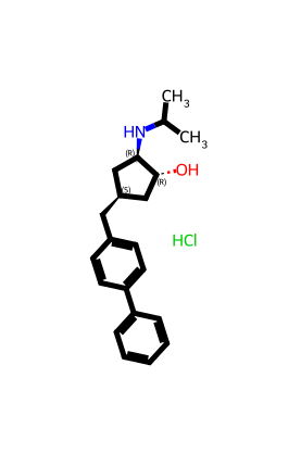 CC(C)N[C@@H]1C[C@H](Cc2ccc(-c3ccccc3)cc2)C[C@H]1O.Cl